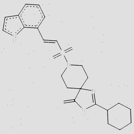 O=C1NC(C2CCCCC2)=NC12CCN(S(=O)(=O)/C=C/c1cccc3cc[nH]c13)CC2